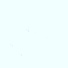 O=C(Nc1ccnc(Br)c1)c1c(Cl)cc(Cl)cc1Cl